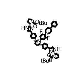 CC(C)(C)OC(=O)N1CCC[C@H]1c1nc(-c2ccc([C@H]3CC[C@H](c4ccc(-c5c[nH]c([C@@H]6CCCN6C(=O)OC(C)(C)C)n5)cc4)N3c3cc(F)c(N4CCC(c5ccccc5)CC4)c(F)c3)cc2)c[nH]1